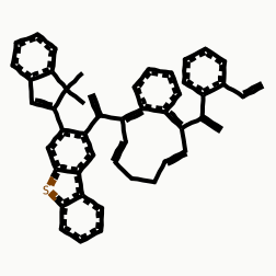 C=Cc1ccccc1C(=C)C1=c2\cccc\c2=C(C(=C)c2cc3c(cc2C2=Cc4ccccc4C2(C)C)sc2ccccc23)\C=C\CC\C=C\1